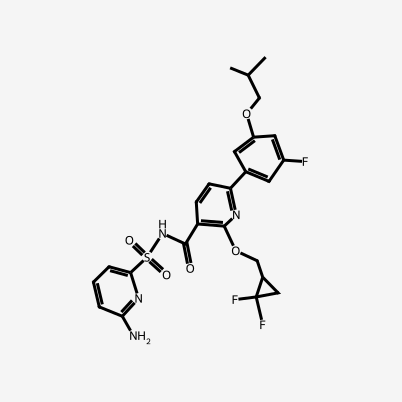 CC(C)COc1cc(F)cc(-c2ccc(C(=O)NS(=O)(=O)c3cccc(N)n3)c(OCC3CC3(F)F)n2)c1